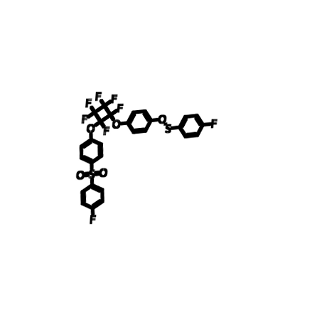 O=S(=O)(c1ccc(F)cc1)c1ccc(OC2(F)C(F)(F)C(F)(F)C2(F)Oc2ccc(OSc3ccc(F)cc3)cc2)cc1